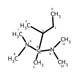 CCC(C)[Si](C)(N(C)C)N(C)C